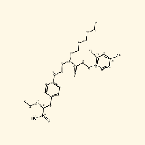 CCCCCCCN(CCOc1ccc(CC(OCC)C(=O)O)cc1)C(=O)OCc1ccc(F)cc1F